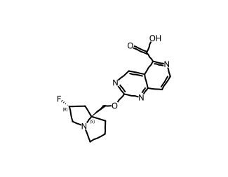 O=C(O)c1nccc2nc(OC[C@@]34CCCN3C[C@H](F)C4)ncc12